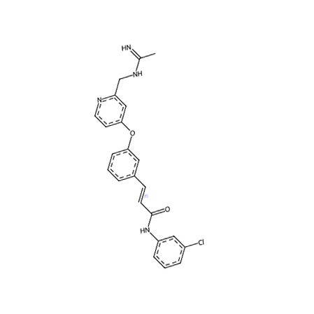 CC(=N)NCc1cc(Oc2cccc(/C=C/C(=O)Nc3cccc(Cl)c3)c2)ccn1